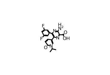 CC(C)n1cc(-c2nc(C(=O)O)c(N)nc2-c2cc(F)cc(F)c2)ccc1=O